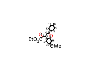 CCOC(=O)C(=O)C(CC(=O)c1ccccc1)c1ccc(OC)cc1